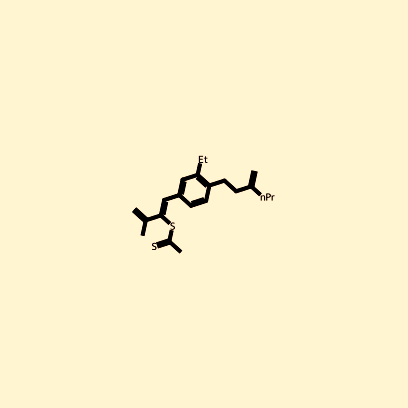 C=C(CCC)CCc1ccc(/C=C(\SC(C)=S)C(=C)C)cc1CC